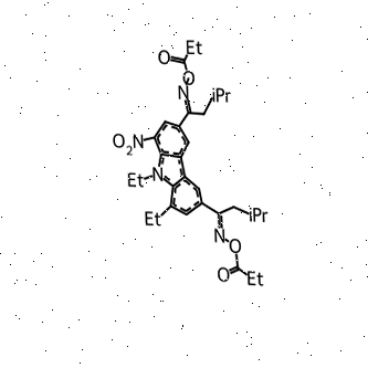 CCC(=O)O/N=C(\CC(C)C)c1cc(CC)c2c(c1)c1cc(/C(CC(C)C)=N/OC(=O)CC)cc([N+](=O)[O-])c1n2CC